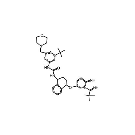 CC(C)(C)C(=N)n1cc(OC2CCC(NC(=O)Nc3cc(C(C)(C)C)nc(CN4CCOCC4)n3)c3ccccc32)ccc1=N